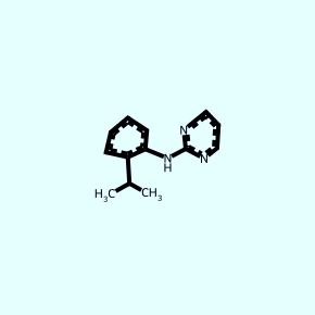 CC(C)c1ccccc1Nc1ncccn1